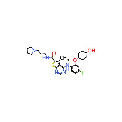 Cc1c(C(=O)NCCCN2CCCC2)sc2ncnc(Nc3ccc(F)cc3O[C@H]3CC[C@H](O)CC3)c12